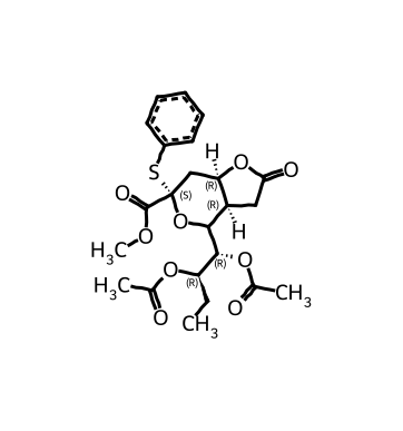 CC[C@@H](OC(C)=O)[C@@H](OC(C)=O)C1O[C@@](Sc2ccccc2)(C(=O)OC)C[C@H]2OC(=O)C[C@@H]12